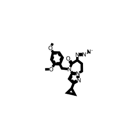 COc1ccc(CN2C(=O)C(N=[N+]=[N-])CCn3nc(C4CC4)cc32)c(OC)c1